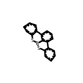 c1ccc2c(c1)SB1Sc3ccccc3-c3cccc-2c31